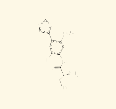 COc1cc(NC(=O)[C@@H](N)CC(C)C)c(F)cc1-c1cnco1